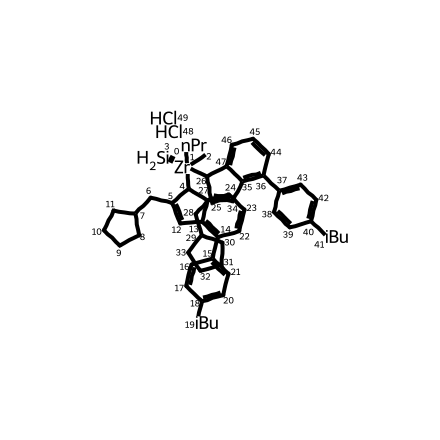 CC[CH2][Zr]([CH3])(=[SiH2])([CH]1C(CC2CCCC2)=Cc2c(-c3ccc(C(C)CC)cc3)cccc21)[CH]1C(CC2CCCC2)=Cc2c(-c3ccc(C(C)CC)cc3)cccc21.Cl.Cl